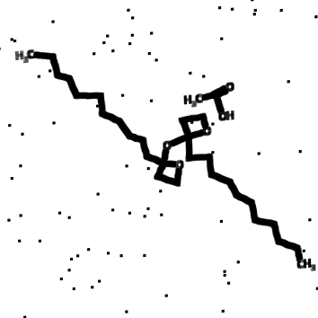 CC(=O)O.CCCCCCCCCCCC1(OC2(CCCCCCCCCCC)CCO2)CCO1